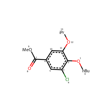 CCCCOc1c(Cl)cc(C(=O)OC)cc1OC(C)C